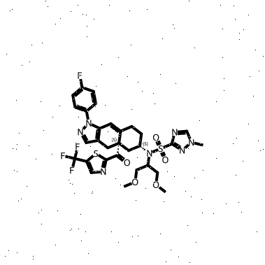 COCC(COC)N([C@H]1CCC2=Cc3c(cnn3-c3ccc(F)cc3)C[C@]2(C(=O)c2ncc(C(F)(F)F)s2)C1)S(=O)(=O)c1ncn(C)n1